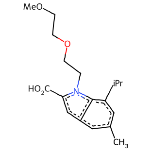 COCCOCCn1c(C(=O)O)cc2cc(C)cc(C(C)C)c21